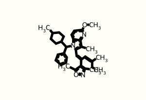 CC/C(C)=C\C(=C/c1c(C)c2nc(OC)ccc2n1C(c1ccccc1)C1CCC(C)CC1)c1c(C)noc1C